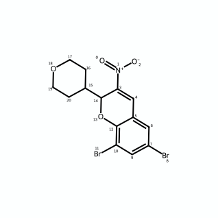 O=[N+]([O-])C1=Cc2cc(Br)cc(Br)c2OC1C1CCOCC1